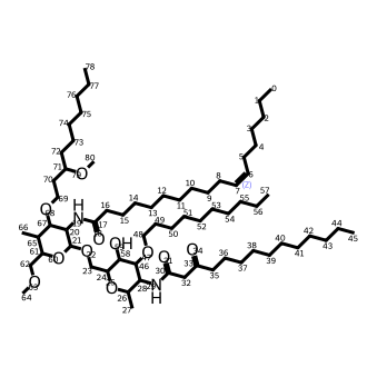 CCCCCC/C=C\CCCCCCCCCC(=O)NC1C(OCC2OC(C)C(NC(=O)CC(=O)CCCCCCCCCCC)C(OCCCCCCCCCC)C2O)OC(COC)C(C)C1OCCC(CCCCCCC)OC